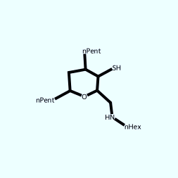 CCCCCCNCC1OC(CCCCC)CC(CCCCC)C1S